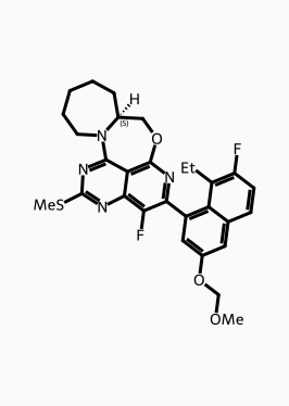 CCc1c(F)ccc2cc(OCOC)cc(-c3nc4c5c(nc(SC)nc5c3F)N3CCCCC[C@H]3CO4)c12